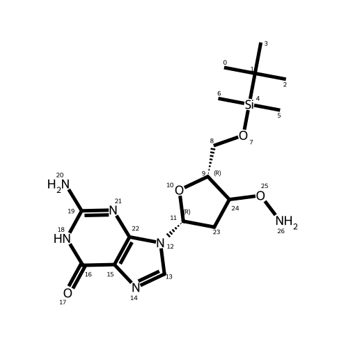 CC(C)(C)[Si](C)(C)OC[C@H]1O[C@@H](n2cnc3c(=O)[nH]c(N)nc32)CC1ON